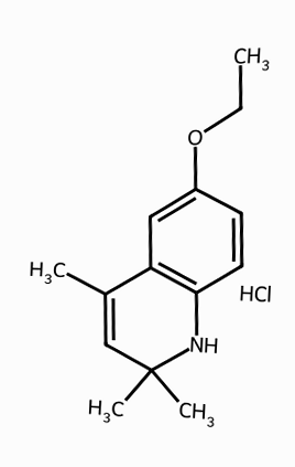 CCOc1ccc2c(c1)C(C)=CC(C)(C)N2.Cl